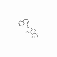 COC1OC(COc2cccc3cccnc23)C(O)C1O